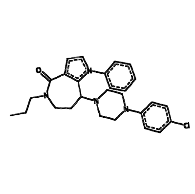 CCCN1CCC(N2CCN(c3ccc(Cl)cc3)CC2)c2c(ccn2-c2ccccc2)C1=O